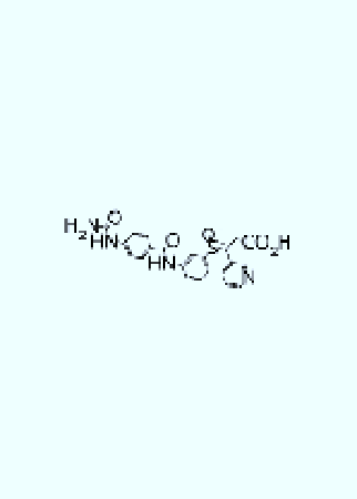 NC(=O)Nc1ccc(C(=O)Nc2cccc([S+]([O-])C(CC(=O)O)c3cccnc3)c2)cc1